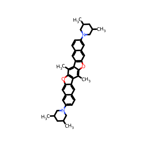 Cc1c2oc3cc4cc(N5CC(C)CC(C)C5)ccc4cc3c2c(C)c2oc3cc4cc(N5CC(C)CC(C)C5)ccc4cc3c12